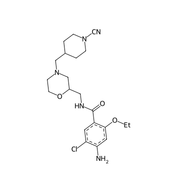 CCOc1cc(N)c(Cl)cc1C(=O)NCC1CN(CC2CCN(C#N)CC2)CCO1